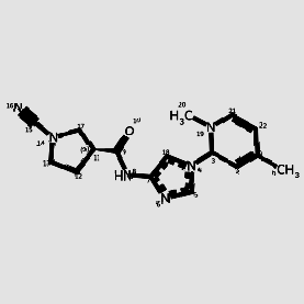 CC1=CC(n2cnc(NC(=O)[C@H]3CCN(C#N)C3)c2)N(C)C=C1